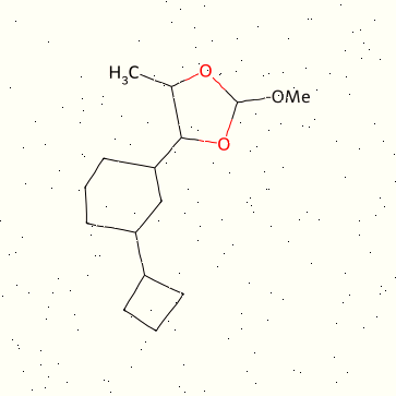 COC1OC(C)C(C2CCCC(C3CCC3)C2)O1